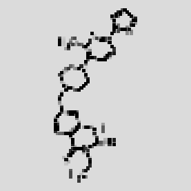 CCn1c(=O)[nH]c2cc(CN3CCN(c4ccc(-n5cccn5)nc4C)CC3)ccc2c1=S